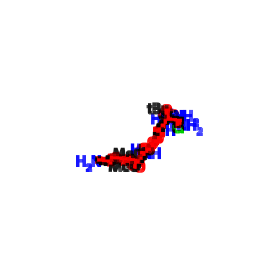 COC(=O)C(CCCC(NC(=O)OCCOCCOc1ccc(CCCCN/C(=N\C(=O)OC(C)(C)C)NC(=O)c2nc(Cl)c(N)nc2N)cc1)C(=O)OC)NC(=O)OCCOCCOc1ccc(CCCCN)cc1